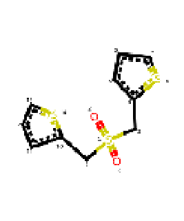 O=S(=O)(Cc1cccs1)Cc1cccs1